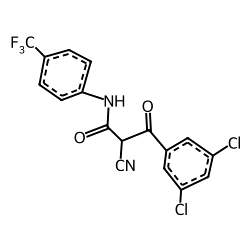 N#CC(C(=O)Nc1ccc(C(F)(F)F)cc1)C(=O)c1cc(Cl)cc(Cl)c1